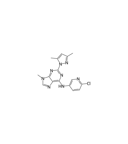 Cc1cc(C)n(-c2nc(Nc3ccc(Cl)nc3)c3ncn(C)c3n2)n1